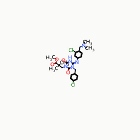 COC(=O)C(C)(C)Cn1c(=O)[nH]/c(=N\c2ccc(CN(C)C)c(Cl)c2)n(Cc2ccc(Cl)cc2)c1=O